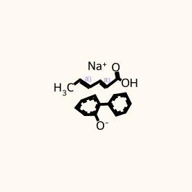 C/C=C/C=C/C(=O)O.[Na+].[O-]c1ccccc1-c1ccccc1